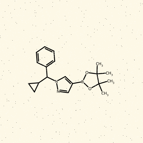 CC1(C)OB(c2cnn(C(c3ccccc3)C3CC3)c2)OC1(C)C